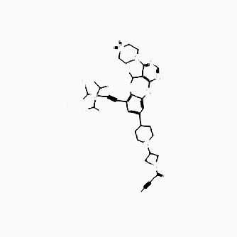 CC#CC(=O)N1CC(N2CCC(c3cc(C#C[Si](C(C)C)(C(C)C)C(C)C)c4c(c3)Nc3ncnc(N5CCS(=O)(=O)CC5)c3C(C)O4)CC2)C1